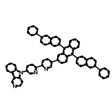 c1ccc(-c2ccc3cc(-c4c5ccccc5c(-c5ccc6cc(-c7ccccc7)ccc6c5)c5cc(-c6ccc(-c7ccc(-n8c9ccccc9c9cnccc98)cn7)nc6)ccc45)ccc3c2)cc1